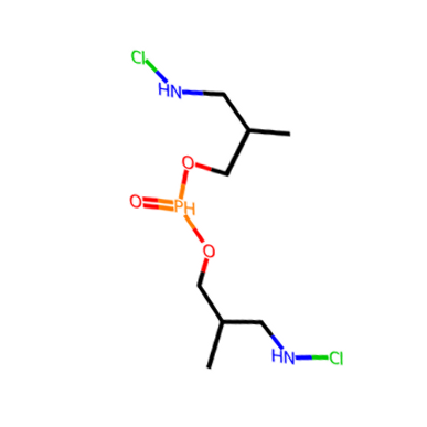 CC(CNCl)CO[PH](=O)OCC(C)CNCl